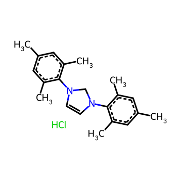 Cc1cc(C)c(N2C=CN(c3c(C)cc(C)cc3C)C2)c(C)c1.Cl